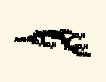 COc1cc(N=Nc2cc(C)c(N=Nc3ccc(NC(C)=O)cc3S(=O)(=O)O)cc2OCCCS(=O)(=O)O)ccc1NC(=O)Nc1ccc(N=Nc2cc(C)c(N=Nc3ccc(NC(C)=O)cc3S(=O)(=O)O)cc2OCCCS(=O)(=O)O)cc1OC